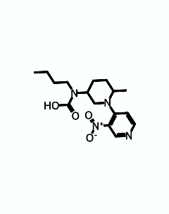 CCCCN(C(=O)O)C1CCC(C)N(c2ccncc2[N+](=O)[O-])C1